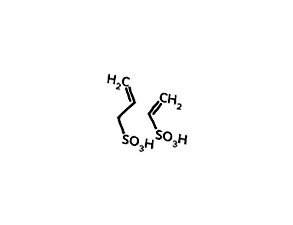 C=CCS(=O)(=O)O.C=CS(=O)(=O)O